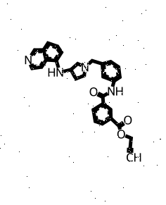 C#CCOC(=O)c1cccc(C(=O)Nc2cccc(CN3CCC(Nc4cccc5cnccc45)C3)c2)c1